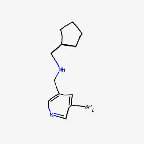 Bc1cncc(CNCC2CCCC2)c1